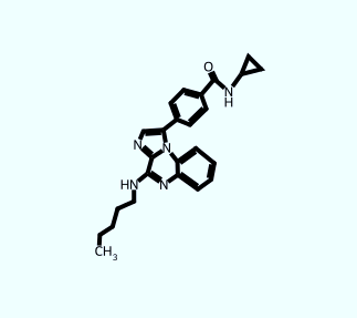 CCCCCNc1nc2ccccc2n2c(-c3ccc(C(=O)NC4CC4)cc3)cnc12